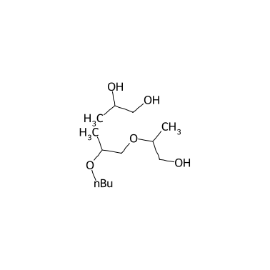 CC(O)CO.CCCCOC(C)COC(C)CO